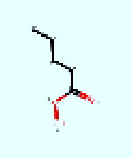 C[CH]CCC(=O)OO